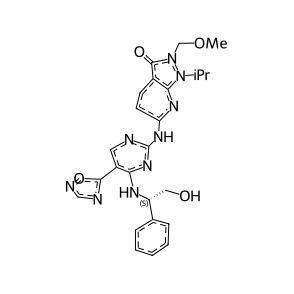 COCn1c(=O)c2ccc(Nc3ncc(-c4ncno4)c(N[C@H](CO)c4ccccc4)n3)nc2n1C(C)C